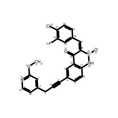 COc1cc(CC#Cc2ccc3c(c2)C(=O)/C(=C\c2ccc(Cl)c(F)c2)[S+]([O-])N3)ccn1